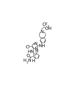 NC(=O)[C@H]1[C@@H](Nc2nc(Nc3ccc4c(c3)CCN(C[C@@H](O)C(F)(F)F)CC4)ncc2Cl)[C@@H]2C=C[C@H]1C2